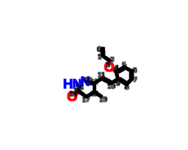 C=CCOc1ccccc1C=CC1=NNC(=O)CC1C